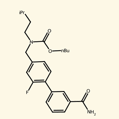 CCCCOC(=O)N(CCC(C)C)Cc1ccc(-c2cccc(C(N)=O)c2)c(F)c1